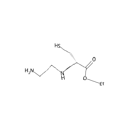 CCOC(=O)[C@@H](CS)NCCN